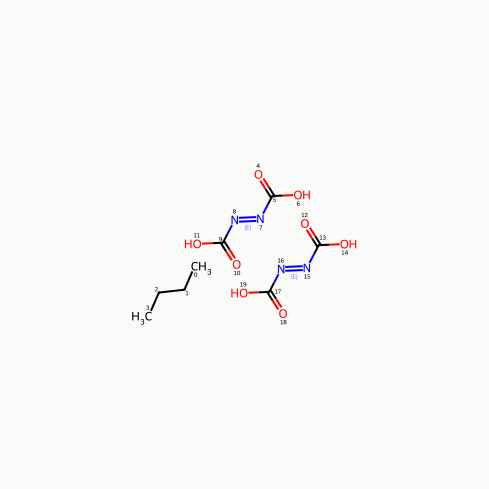 CCCC.O=C(O)/N=N/C(=O)O.O=C(O)/N=N/C(=O)O